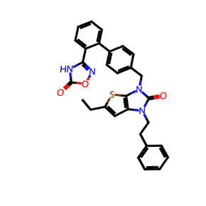 CCc1cc2c(s1)n(Cc1ccc(-c3ccccc3-c3noc(=O)[nH]3)cc1)c(=O)n2CCc1ccccc1